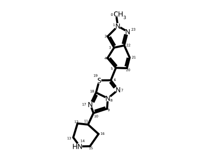 Cn1cc2cc(-c3nn4cc(C5CCNCC5)nc4s3)ccc2n1